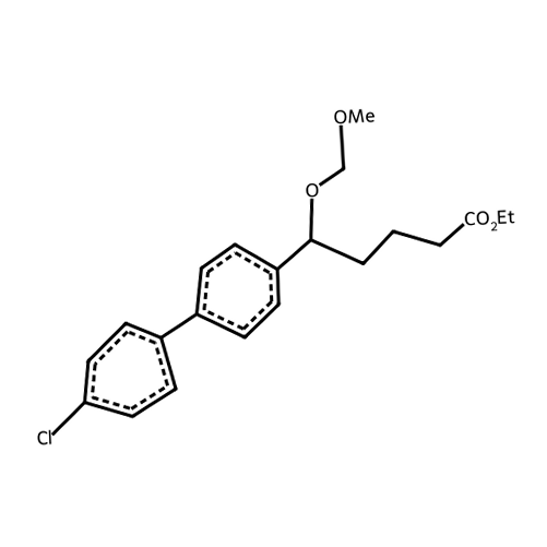 CCOC(=O)CCCC(OCOC)c1ccc(-c2ccc(Cl)cc2)cc1